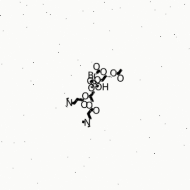 CC(=O)OC[C@H](COP(=O)(O)OCC(COC(=O)CCN(C)C)OC(=O)CCN(C)C)OC(=O)Br